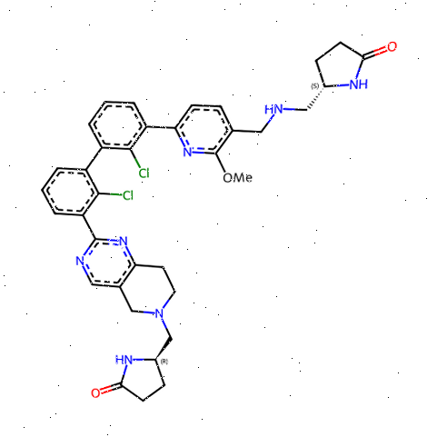 COc1nc(-c2cccc(-c3cccc(-c4ncc5c(n4)CCN(C[C@H]4CCC(=O)N4)C5)c3Cl)c2Cl)ccc1CNC[C@@H]1CCC(=O)N1